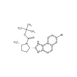 C[C@H]1CC[C@@H](c2nc3ccc4cc(Br)ccc4c3[nH]2)N1C(=O)OC(C)(C)C